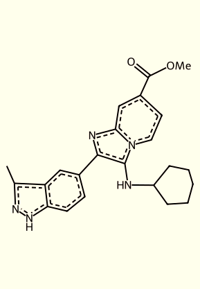 COC(=O)c1ccn2c(NC3CCCCC3)c(-c3ccc4[nH]nc(C)c4c3)nc2c1